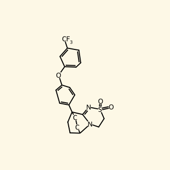 O=S1(=O)CCN2C(=N1)C1(c3ccc(Oc4cccc(C(F)(F)F)c4)cc3)CCC2CC1